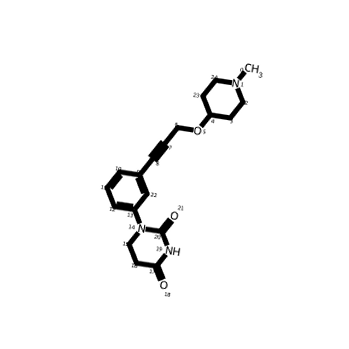 CN1CCC(OCC#Cc2cccc(N3CCC(=O)NC3=O)c2)CC1